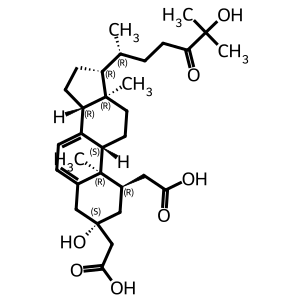 C[C@H](CCC(=O)C(C)(C)O)[C@H]1CC[C@H]2C3=CC=C4C[C@](O)(CC(=O)O)C[C@H](CC(=O)O)[C@]4(C)[C@H]3CC[C@]12C